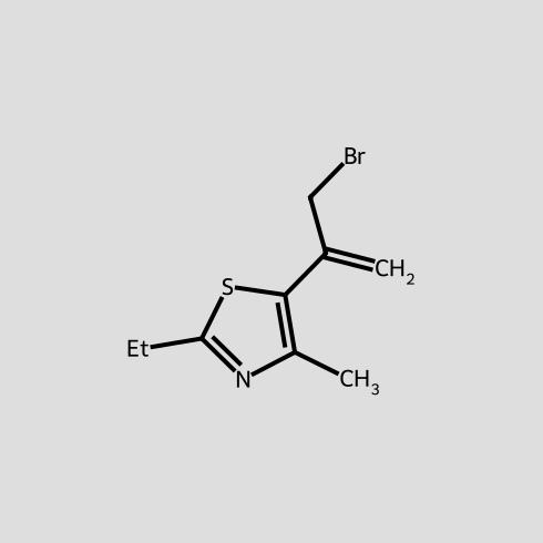 C=C(CBr)c1sc(CC)nc1C